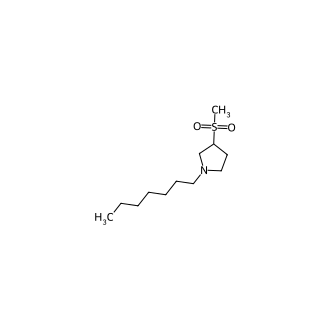 CCCCCCCN1CCC(S(C)(=O)=O)C1